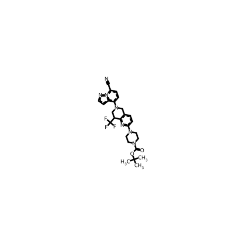 CC(C)(C)OC(=O)N1CCN(c2ccc3c(n2)C(C(F)(F)F)CN(c2ccc(C#N)n4nccc24)C3)CC1